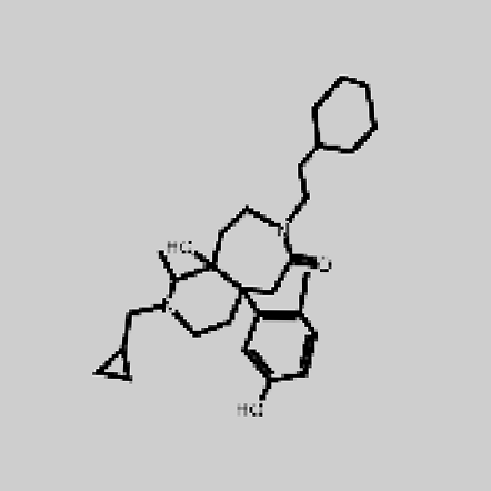 Cc1ccc(O)cc1C12CCN(CC3CC3)C(C)C1(O)CCN(CCC1CCCCC1)C(=O)C2